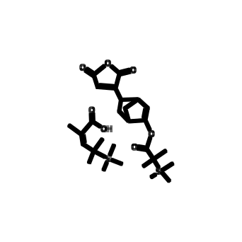 CC(=CC(C)(C)[Si](C)(C)C)C(=O)O.CC(C)(C(=O)OC1=CC2CC1CC2C1=CC(=O)OC1=O)[Si](C)(C)C